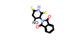 O=NC1CC(=S)NC(=S)C1N1C(=O)c2ccccc2C1=O